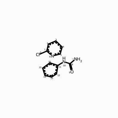 Clc1ccccn1.NC(=O)Nc1ccccc1